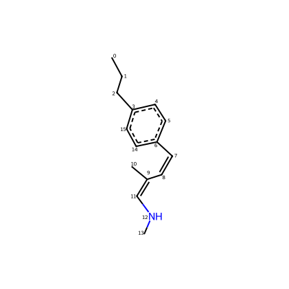 CCCc1ccc(/C=C\C(C)=C/NC)cc1